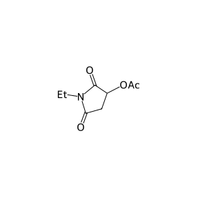 CCN1C(=O)CC(OC(C)=O)C1=O